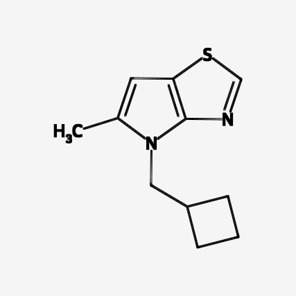 Cc1cc2scnc2n1CC1CCC1